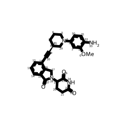 COc1cc(N2CCC[C@H](C#Cc3cccc4c3CN(C3CCC(=O)NC3=O)C4=O)C2)ccc1N